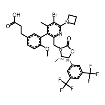 COc1ccc(CCC(=O)O)cc1-c1c(CN2C(=O)O[C@H](c3cc(C(F)(F)F)cc(C(F)(F)F)c3)[C@@H]2C)nc(N2CCC2)c(Br)c1C